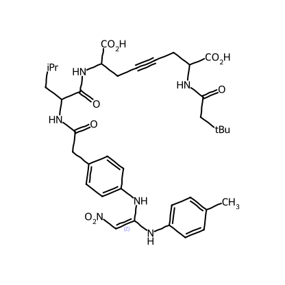 Cc1ccc(N/C(=C/[N+](=O)[O-])Nc2ccc(CC(=O)NC(CC(C)C)C(=O)NC(CC#CCC(NC(=O)CC(C)(C)C)C(=O)O)C(=O)O)cc2)cc1